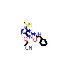 C[SH](C)n1cnc2c(OCCC#N)nc(NC(=O)Cc3ccccc3)nc21